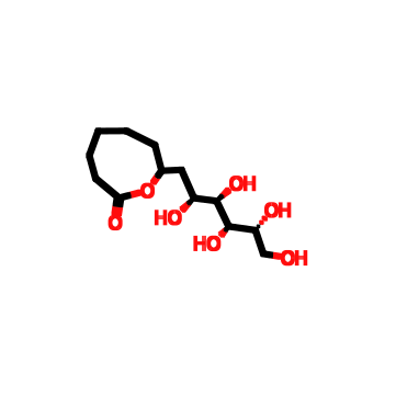 O=C1CCCCCC(C[C@H](O)[C@@H](O)[C@H](O)[C@H](O)CO)O1